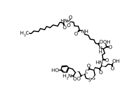 CCCCCCCCCCCC(=O)NS(=O)(=O)CCCC(=O)NCCCCCC(=O)NC(CCC(=O)N[C@@H](CCC(=O)O)C(=O)C[C@H]1CSSC[C@@H](C(=O)C[C@@H](Cc2ccc(O)cc2)C(N)=O)CC1=O)C(=O)O